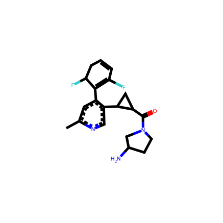 Cc1cc(C2=C(F)C=CCC2F)c(C2CC2C(=O)N2CCC(N)C2)cn1